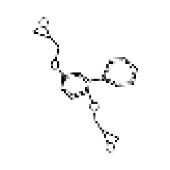 c1ccc(-c2cc(OCC3CO3)ccc2OCC2CO2)cc1